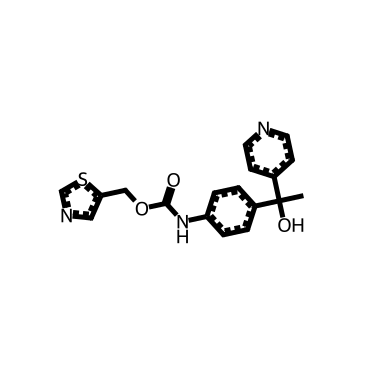 CC(O)(c1ccncc1)c1ccc(NC(=O)OCc2cncs2)cc1